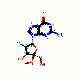 CO[C@]1(CO)O[C@@H](n2cnc3c(=O)[nH]c(N)nc32)[C@H](F)[C@@H]1O